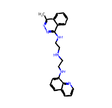 Cc1nnc(NCCNCCNc2cccc3cccnc23)c2ccccc12